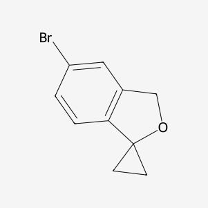 Brc1ccc2c(c1)COC21CC1